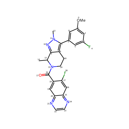 COc1cc(F)cc(-c2c3c(nn2C)C(C)N(C(=O)c2cc4nccnc4cc2F)CC3)c1